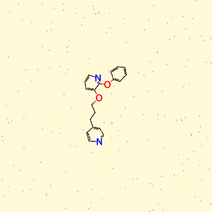 c1ccc(Oc2ncccc2OCCCc2ccncc2)cc1